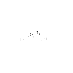 COc1nc(-c2cccc(-c3cccc(-c4ccn5c(=O)c(CN6CCCC(C(=O)O)C6)cnc5c4)c3Cl)c2Cl)ccc1CNCC1CCC(=O)N1